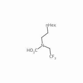 CCCCCCCCN(CC(F)(F)F)C(=O)O